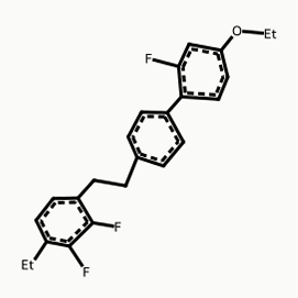 CCOc1ccc(-c2ccc(CCc3ccc(CC)c(F)c3F)cc2)c(F)c1